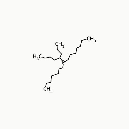 CCCCCCCP(CCCCCCC)C(CCC)CCCC